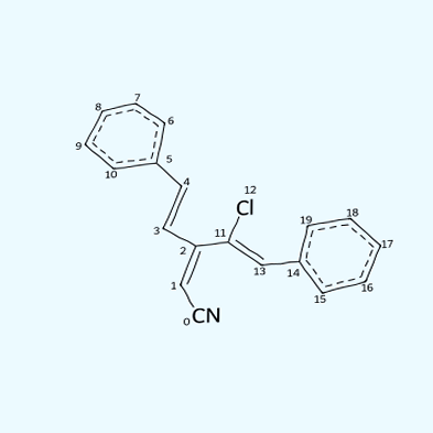 N#CC=C(C=Cc1ccccc1)C(Cl)=Cc1ccccc1